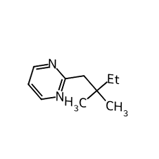 CCC(C)(C)Cc1ncccn1